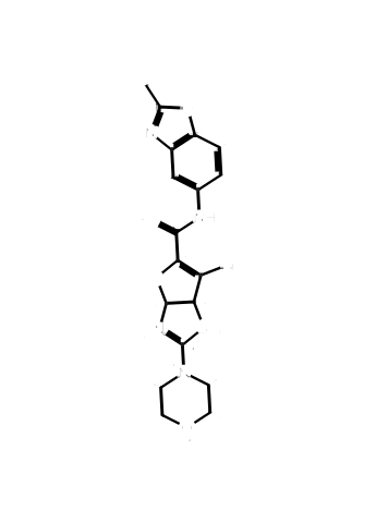 Cc1nc2cc(NC(=O)C3=C(Br)C4SC(N5CCOCC5)=NC4S3)ccc2o1